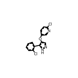 Clc1ccc(Oc2cn[nH]c2-c2ccccc2Cl)cn1